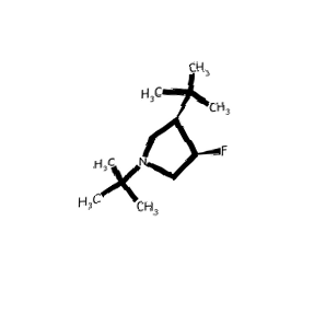 CC(C)(C)[C@@H]1CN(C(C)(C)C)C[C@@H]1F